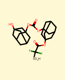 O=C(OC12CC3CC(CC(O)(C3)C1)C2)OC12CC3CC(C1)CC(OC(=O)C(F)(F)S(=O)(=O)O)(C3)C2